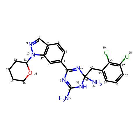 NC1=NC(c2ccc3cnn(C4CCCCO4)c3c2)=NC(N)(Cc2cccc(Cl)c2Cl)N1